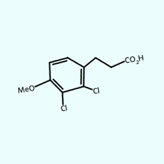 COc1ccc(CCC(=O)O)c(Cl)c1Cl